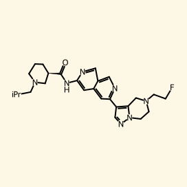 CC(C)CN1CCC[C@@H](C(=O)Nc2cc3cc(-c4cnn5c4CN(CCF)CC5)ncc3cn2)C1